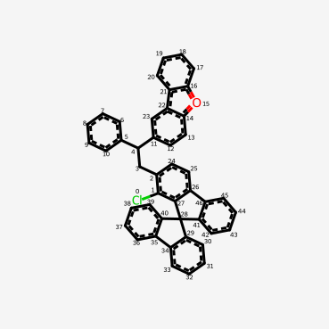 Clc1c(CC(c2ccccc2)c2ccc3oc4ccccc4c3c2)ccc2c1C1(c3ccccc3-c3ccccc31)c1ccccc1-2